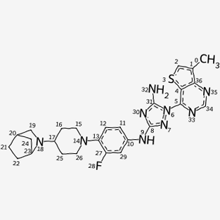 Cc1csc2c(-n3nc(Nc4ccc(N5CCC(N6CC7CCC6C7)CC5)c(F)c4)nc3N)ncnc12